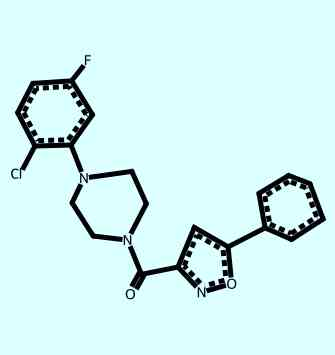 O=C(c1cc(-c2ccccc2)on1)N1CCN(c2cc(F)ccc2Cl)CC1